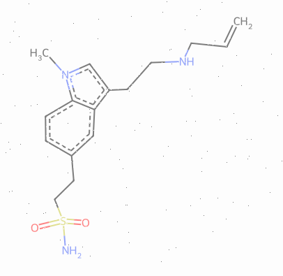 C=CCNCCc1cn(C)c2ccc(CCS(N)(=O)=O)cc12